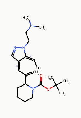 C=C(/C=c1/cnn(CCN(C)C)/c1=C/C)[C@@H]1CCCCN1C(=O)OC(C)(C)C